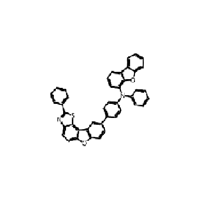 c1ccc(-c2nc3ccc4oc5ccc(-c6ccc(N(c7ccccc7)c7cccc8c7oc7ccccc78)cc6)cc5c4c3s2)cc1